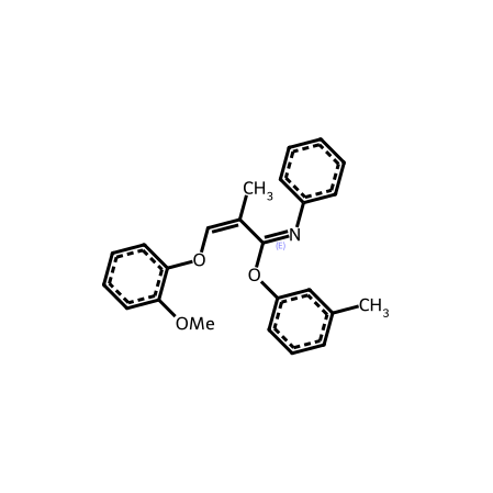 COc1ccccc1OC=C(C)/C(=N\c1ccccc1)Oc1cccc(C)c1